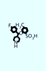 Cc1ccc(S(=O)(=O)O)cc1.O=C(c1ccc(F)cc1)C1CCNCC1